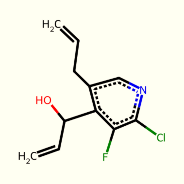 C=CCc1cnc(Cl)c(F)c1C(O)C=C